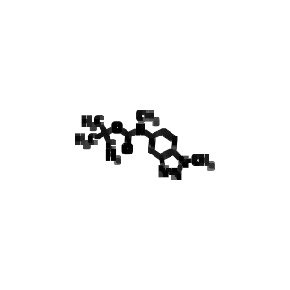 CN(C(=O)OC(C)(C)C)c1ccc2c(c1)nnn2C